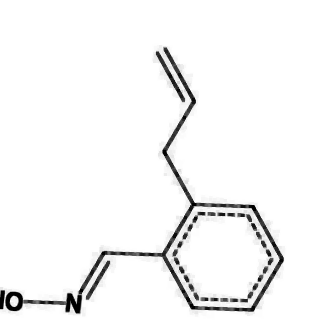 C=CCc1ccccc1/C=N/O